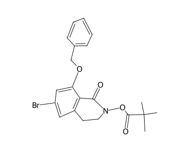 CC(C)(C)C(=O)ON1CCc2cc(Br)cc(OCc3ccccc3)c2C1=O